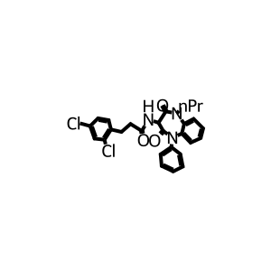 CCCN1C(=O)C(NC(=O)CCc2ccc(Cl)cc2Cl)C(=O)N(c2ccccc2)c2ccccc21